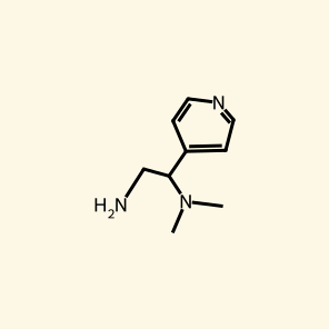 CN(C)C(CN)c1ccncc1